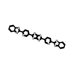 C1=CC2=NC(c3ccc(-c4nc5sc(-c6ccc(C7=NC8C=CC=CC8=N7)nc6)nc5s4)cn3)=NC2C=C1